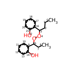 CCCC(OOC(CC)c1ccccc1O)c1ccccc1O